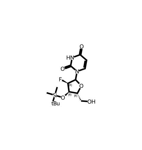 CC(C)(C)[Si](C)(C)O[C@@H]1[C@@H](CO)OC(n2ccc(=O)[nH]c2=O)[C@@H]1F